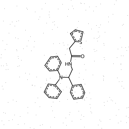 O=C(Cc1cccs1)NCC(c1ccccc1)N(c1ccccc1)c1ccccc1